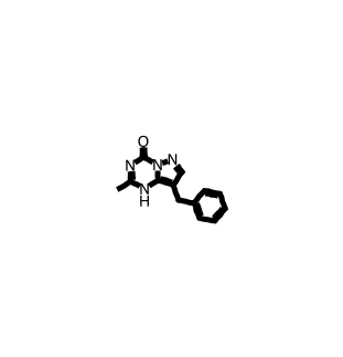 Cc1nc(=O)n2ncc(Cc3ccccc3)c2[nH]1